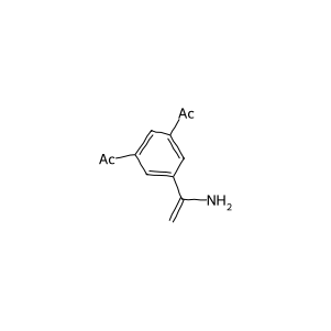 C=C(N)c1cc(C(C)=O)cc(C(C)=O)c1